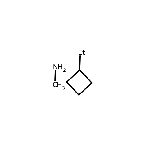 CCC1CCC1.CN